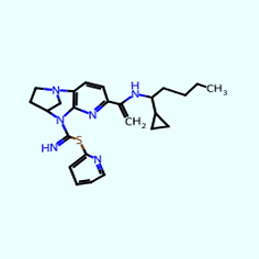 C=C(NC(CCCC)C1CC1)c1ccc2c(n1)N(C(=N)Sc1ccccn1)C1CCN2C1